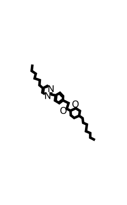 CCCCCCCC1CCC(C(=O)Cc2ccc(-c3ncc(CCCCCC)cn3)cc2)C(=O)C1